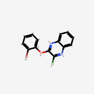 Clc1nc2ccccc2nc1Oc1ccccc1Br